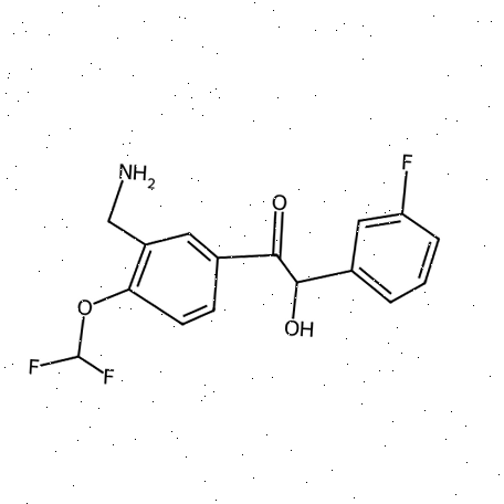 NCc1cc(C(=O)C(O)c2cccc(F)c2)ccc1OC(F)F